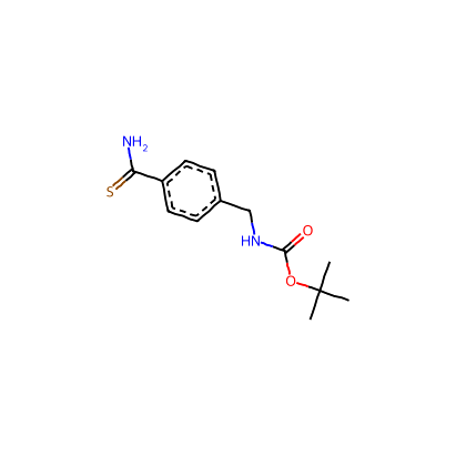 CC(C)(C)OC(=O)NCc1ccc(C(N)=S)cc1